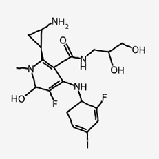 CN1C([C@H]2CC2N)=C(C(=O)NCC(O)CO)C(NC2CC=C(I)C=C2F)=C(F)C1O